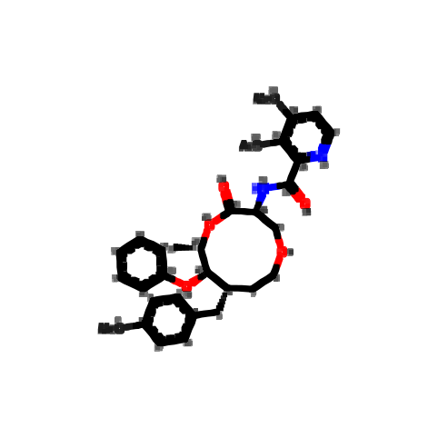 COc1ccc(C[C@H]2CCOC[C@H](NC(=O)c3nccc(OC)c3OC(C)=O)C(=O)O[C@@H](C)[C@@H]2Oc2ccccc2)cc1